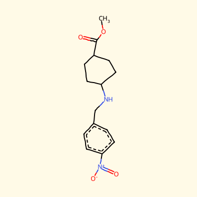 COC(=O)C1CCC(NCc2ccc([N+](=O)[O-])cc2)CC1